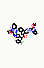 CC(C)(C)Oc1nc2ccccc2nc1CN1CCC(C(Cc2ccccc2F)C(=O)C(Cc2ccccc2F)C2CCN(Cc3nc4ccccc4nc3OC(C)(C)C)CC2)CC1